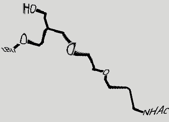 CC(=O)NCCCOCCOCC(CO)COC(C)(C)C